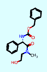 CN(CCO)C(=O)[C@@H](NC(=O)OCc1ccccc1)c1ccccc1